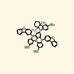 CC(C)(C)c1ccc2c(c1)B1c3cc(C(C)(C)C)ccc3N(c3ccc4oc5ccccc5c4c3)c3cc(N4c5ccc(C(C)(C)C)cc5C5(C)CCCCC45C)cc(c31)N2c1ccc2oc3ccccc3c2c1